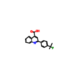 CC(C)(F)c1ccc(-c2cc(C(=O)O)c3ccccc3n2)cc1